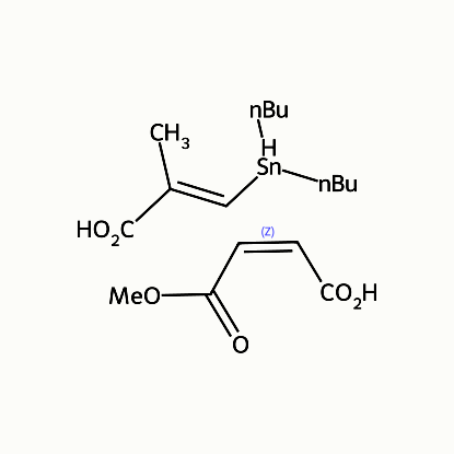 CCC[CH2][SnH]([CH]=C(C)C(=O)O)[CH2]CCC.COC(=O)/C=C\C(=O)O